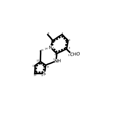 Cc1ccc(C=O)c(Nc2sccc2C)n1